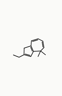 CCC1=CC2=C(C=CC=CC2(C)C)C1